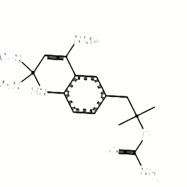 CNC1=CC(NC)(NC)Nc2ccc(CC(C)(C)OC(N)=O)cc21